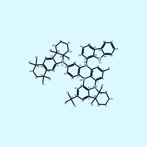 Cc1cc2c3c(c1)N1c4c(cc(C(C)(C)C)cc4C4(C)CCCCC14C)B3c1ccc(N3c4cc5c(cc4C4(C)CCCCC34C)C(C)(C)CCC5(C)C)cc1N2c1cccc2c1oc1ccccc12